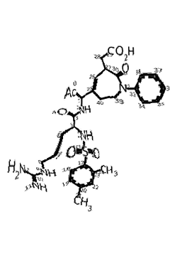 CC(=O)C(NC(=O)C(CCCNC(=N)N)NS(=O)(=O)c1ccc(C)cc1C)C1=CC(CC(=O)O)C(=O)N(c2ccccc2)CC1